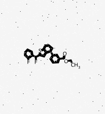 CCOC(=O)c1cccc(-c2cccc3sc(C(F)c4ccccc4F)cc23)c1